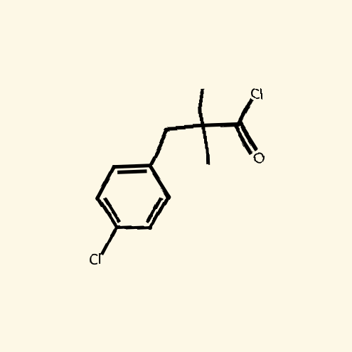 CC(C)(Cc1ccc(Cl)cc1)C(=O)Cl